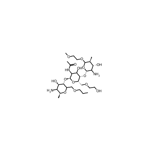 CCCOCC1O[C@@H](C)C(N)[C@@H](O)[C@@H]1O[C@@H]1O[C@@H](COCCO)[C@@H](O[C@@H]2OC(OCCOC)[C@@H](C)[C@H](O)C2N)C(O)C1NC(C)=O